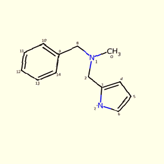 CN(CC1=CC=C[N]1)Cc1ccccc1